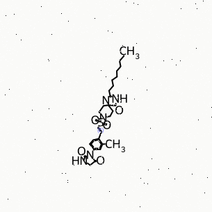 CCCCCCCCCC1=NC2(CCN(S(=O)(=O)/C=C/c3ccc(N4C(=O)CNC4=O)cc3C)CC2)C(=O)N1